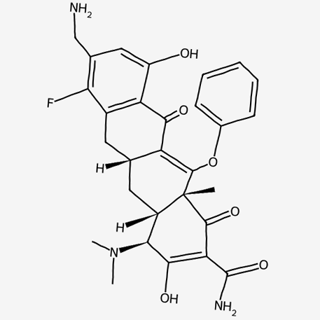 CN(C)[C@@H]1C(O)=C(C(N)=O)C(=O)[C@@]2(C)C(Oc3ccccc3)=C3C(=O)c4c(O)cc(CN)c(F)c4C[C@H]3C[C@@H]12